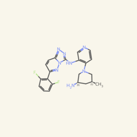 C[C@H]1C[C@@H](N)CN(c2ccncc2Nc2nnc3ccc(-c4c(F)cccc4F)nn23)C1